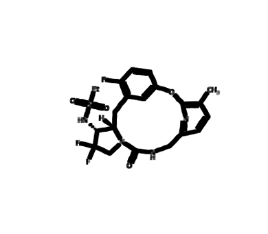 CCS(=O)(=O)N[C@@H]1[C@@H]2Cc3cc(ccc3F)Oc3nc(ccc3C)CNC(=O)N2CC1(F)F